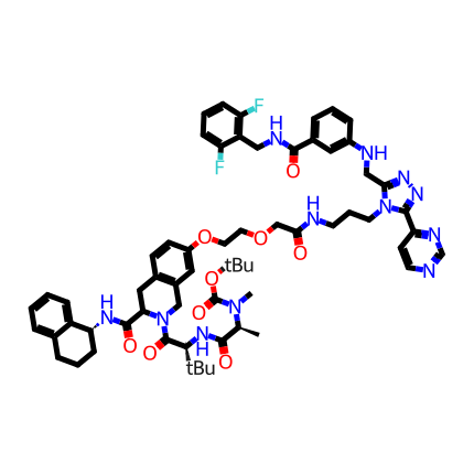 C[C@@H](C(=O)N[C@H](C(=O)N1Cc2cc(OCCOCC(=O)NCCCn3c(CNc4cccc(C(=O)NCc5c(F)cccc5F)c4)nnc3-c3ccncn3)ccc2CC1C(=O)N[C@@H]1CCCc2ccccc21)C(C)(C)C)N(C)C(=O)OC(C)(C)C